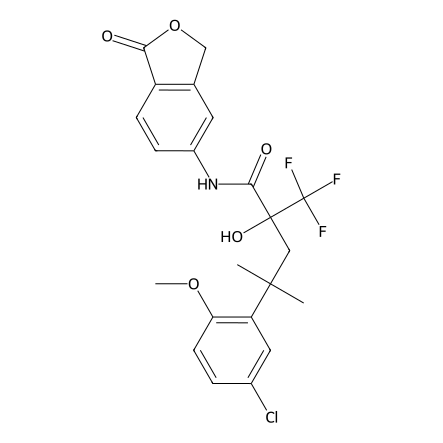 COc1ccc(Cl)cc1C(C)(C)CC(O)(C(=O)Nc1ccc2c(c1)COC2=O)C(F)(F)F